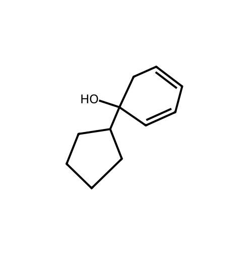 OC1(C2CCCC2)C=CC=CC1